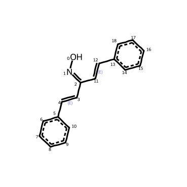 ON=C(/C=C/c1ccccc1)/C=C/c1ccccc1